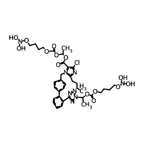 CCCCc1nc(Cl)c(C(=O)OC(C)OC(=O)OCCCCON(O)O)n1Cc1ccc(-c2ccccc2-c2nnn(C(C)OC(=O)OCCCCON(O)O)n2)cc1